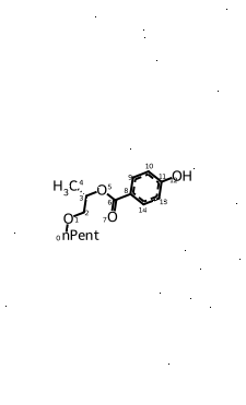 CCCCCOC[C@H](C)OC(=O)c1ccc(O)cc1